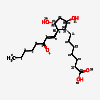 CCCCCC(=O)C=C[C@@H]1[C@@H](CCCCCCC(=O)O)[C@H](O)C[C@H]1O